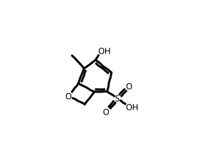 Cc1c(O)cc(S(=O)(=O)O)c2c1OC2